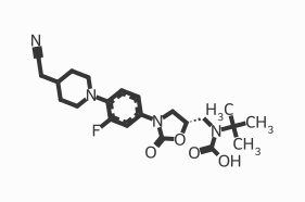 CC(C)(C)N(C[C@H]1CN(c2ccc(N3CCC(CC#N)CC3)c(F)c2)C(=O)O1)C(=O)O